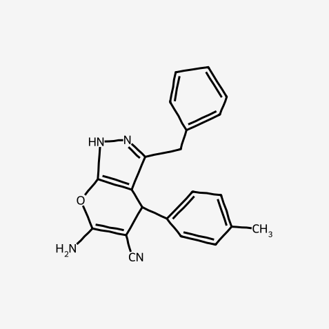 Cc1ccc(C2C(C#N)=C(N)Oc3[nH]nc(Cc4ccccc4)c32)cc1